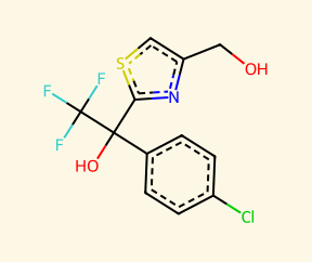 OCc1csc(C(O)(c2ccc(Cl)cc2)C(F)(F)F)n1